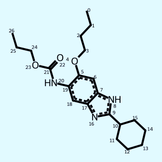 CCCCOc1cc2[nH]c(C3CCCCC3)nc2cc1NC(=O)OCCC